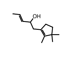 CC=CC(O)CC1=C(C)C(C)(C)CC1